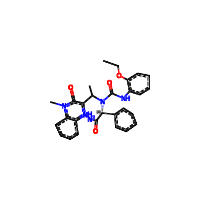 CCOc1ccccc1NC(=O)N(C(C)c1nc2ccccc2n(C)c1=O)[C@@H](C(N)=O)c1ccccc1